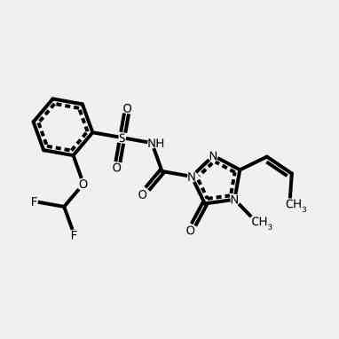 C/C=C\c1nn(C(=O)NS(=O)(=O)c2ccccc2OC(F)F)c(=O)n1C